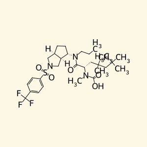 CCCN(C(=O)[C@H](CC(C)(C)CC(C)(C)C)N(C)C(=O)O)[C@H]1CC[C@@H]2CN(S(=O)(=O)c3ccc(C(F)(F)F)cc3)C[C@@H]21